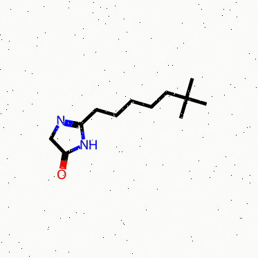 CC(C)(C)CCCCCC1=NCC(=O)N1